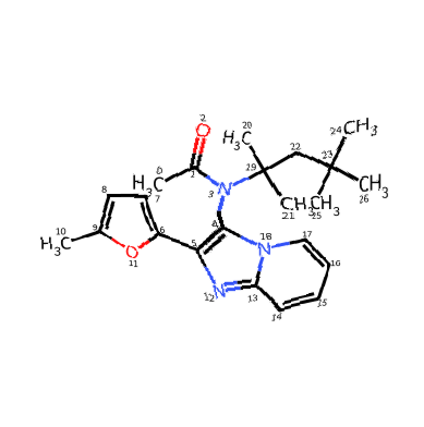 CC(=O)N(c1c(-c2ccc(C)o2)nc2ccccn12)C(C)(C)CC(C)(C)C